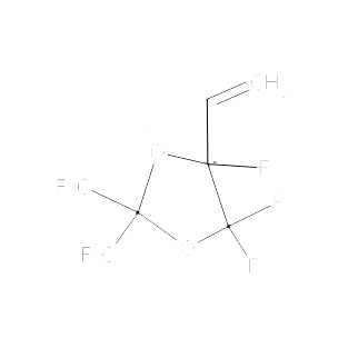 C=CC1(F)OC(C(F)(F)F)(C(F)(F)F)OC1(F)F